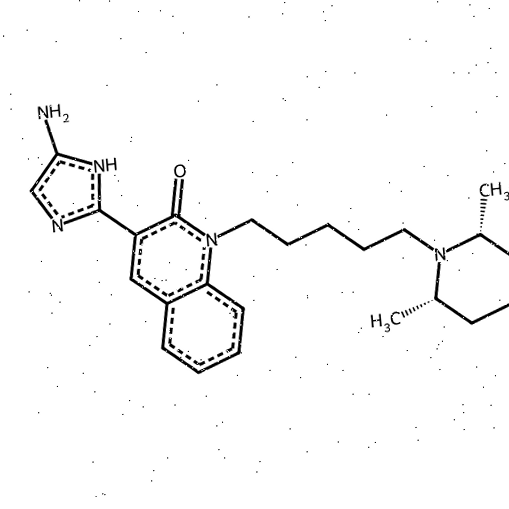 C[C@@H]1CCC[C@H](C)N1CCCCCn1c(=O)c(-c2ncc(N)[nH]2)cc2ccccc21